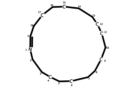 C1=N\CCCCCCCCCCCCCCCCC/1